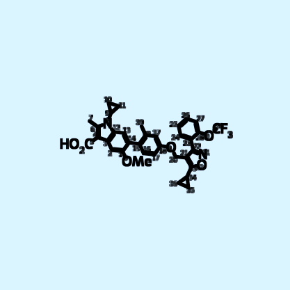 COc1cc2c(C(=O)O)c(C)n(C3CC3)c2cc1-c1ccc(OCc2c(-c3ccccc3OC(F)(F)F)noc2C2CC2)cc1C